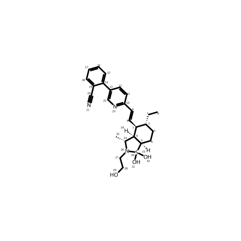 CC[C@@H]1CC[C@@H]2[C@H]([C@H]1/C=C/c1ccc(-c3ccccc3C#N)cn1)[C@@H](C)N(CCO)S2(O)O